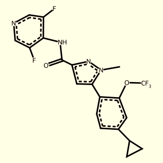 Cn1nc(C(=O)Nc2c(F)cncc2F)cc1-c1ccc(C2CC2)cc1OC(F)(F)F